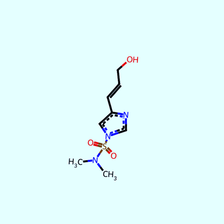 CN(C)S(=O)(=O)n1cnc(/C=C/CO)c1